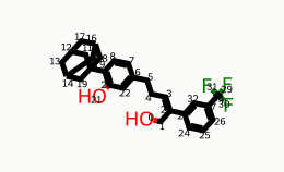 OC/C(=C\CCc1ccc(C23CC4CC(CC(C4)C2)C3)c(O)c1)c1cccc(C(F)(F)F)c1